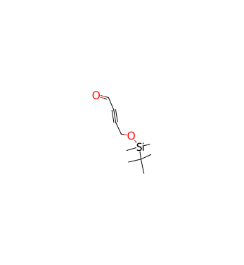 CC(C)(C)[Si](C)(C)OCC#CC=O